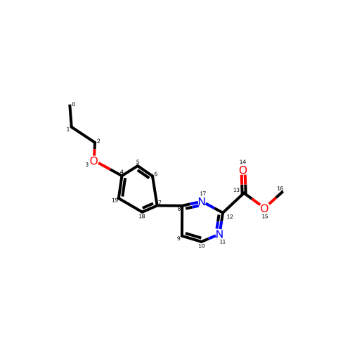 CCCOc1ccc(-c2ccnc(C(=O)OC)n2)cc1